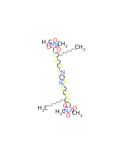 CCCCCCCCc1cc(C=C2C(=O)N(C)C(=O)N(C)C2=O)sc1-c1cc2sc(-c3nc4cc5sc(-c6cc7sc(-c8sc(C=C9C(=O)N(C)C(=O)N(C)C9=O)cc8CCCCCCCC)cc7s6)nc5cc4s3)cc2s1